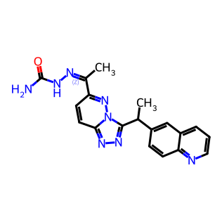 C/C(=N/NC(N)=O)c1ccc2nnc(C(C)c3ccc4ncccc4c3)n2n1